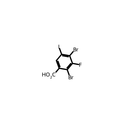 O=C(O)c1cc(I)c(Br)c(F)c1Br